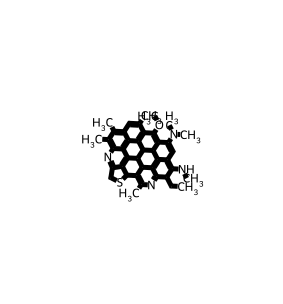 CCC1C2=NC(C)=C3C4SCc5nc6c(C)c(C)c7cc(C)c8c9c7c6c(c54)C4C3C2=C2C(=C1NC)C=C(N(C)C)C(=C8OC)C2C94